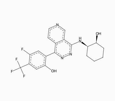 Oc1cc(C(F)(F)F)c(F)cc1-c1nnc(N[C@@H]2CCCC[C@@H]2O)c2cnccc12